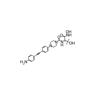 CC(C)(O)[C@H](NC(=O)N1CCN(c2ccc(C#Cc3ccc(N)cc3)cc2)CC1)C(=O)NO